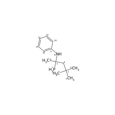 CC(C)(C)CC(C)(P)Nc1ccccc1